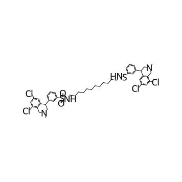 CN1Cc2c(Cl)cc(Cl)cc2C(c2cccc(SNCCCCCCCCCCCCNS(=O)(=O)c3cccc(C4CN(C)Cc5c(Cl)cc(Cl)cc54)c3)c2)C1